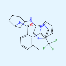 Cc1cccc(C(=O)N2C3CCC2C(Nc2cnc(C(F)(F)F)cn2)C3)c1-c1ccccn1